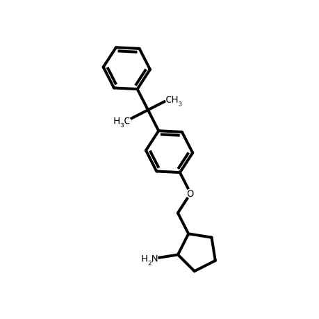 CC(C)(c1ccccc1)c1ccc(OCC2CCCC2N)cc1